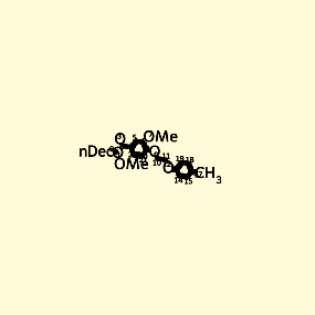 CCCCCCCCCCOC(=O)c1cc(OC)c(OCCOc2ccc(C)cc2)c(OC)c1